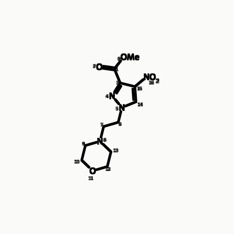 COC(=O)c1nn(CCN2CCOCC2)cc1[N+](=O)[O-]